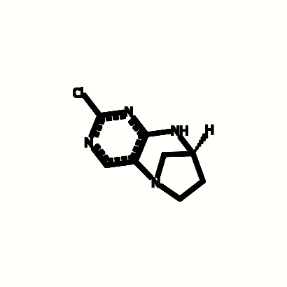 Clc1ncc2c(n1)N[C@H]1CCN2C1